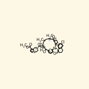 COC(=O)c1ccn2c1CN(C(=O)NS1(=O)=NC(=O)c3ccc4c(c3)N(C[C@@H]3CC[C@H]3[C@@H](OC)/C=C/C[C@H](C)C1)C[C@@]1(CCCc3cc(Cl)ccc31)CO4)CC2